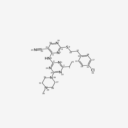 CCc1nc(Nc2nc(SCCc3ccc(Cl)cc3)ncc2C#N)nc(N2CCN(C)CC2)n1